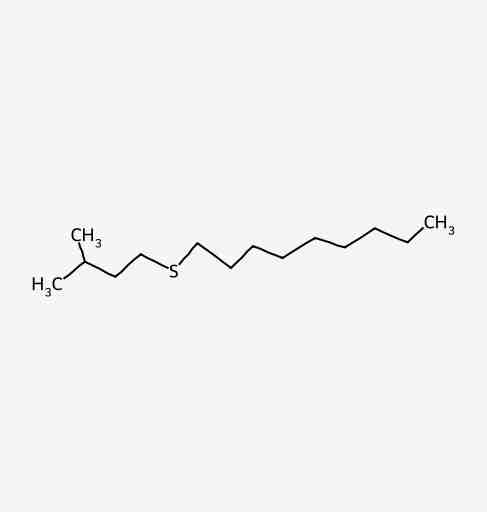 CCCCCCCCCSCCC(C)C